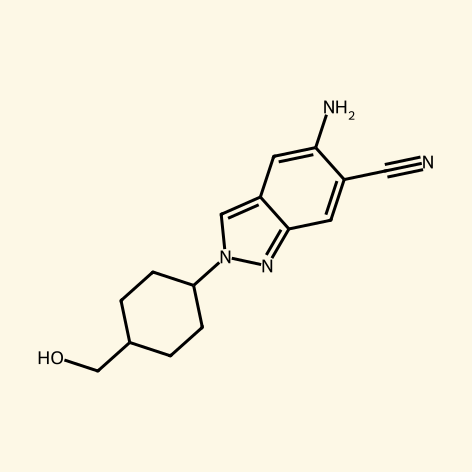 N#Cc1cc2nn(C3CCC(CO)CC3)cc2cc1N